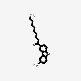 CCCCCCCCCC(=O)c1ccc2[nH]c3ccc(C)cc3c2c1